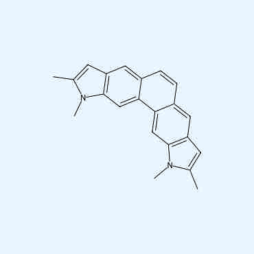 Cc1cc2cc3ccc4cc5cc(C)n(C)c5cc4c3cc2n1C